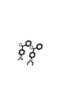 CCN(CC)c1ccc(C(=O)c2ccccc2)cc1.CN(C)c1ccc(C(=O)c2ccccc2)cc1